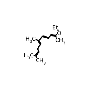 CCOC(C)=CC=CC(C)=CCC=C(C)C